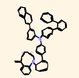 C=C1/C=C\C=C/N(c2ccccc2-c2ccc(N(c3ccc(-c4ccccc4-c4ccccc4)cc3)c3cccc(-c4ccc5ccccc5c4)c3)cc2)c2ccccc21